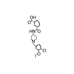 CCOc1cc(CN2CCC(NC(=O)c3cccc(C(=O)O)c3)CC2)ccc1Cl